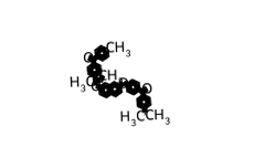 CCC(C)(Oc1ccc2ccc(Oc3ccc(C(=O)c4ccc(C(C)C)cc4)cc3)cc2c1)c1ccc(C(=O)c2ccc(C)cc2)cc1